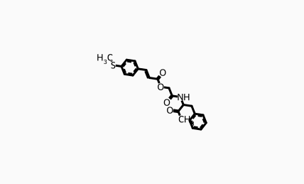 CSc1ccc(C=CC(=O)OCC(=O)NC(Cc2ccccc2)C(C)=O)cc1